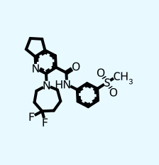 CS(=O)(=O)c1cccc(NC(=O)c2cc3c(nc2N2CCCC(F)(F)CC2)CCC3)c1